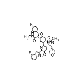 CNC(=O)c1c(-c2ccc(F)cc2)oc2cc(N(CCN3CCOCC3)S(C)(=O)=O)c(-c3ccc4c(n3)-c3cc5c(F)cccc5n3CO4)cc12